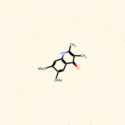 COc1cc2[nH]c(C)c(C)c(=O)c2cc1OC